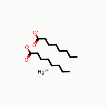 CCCCCCCC(=O)[O-].CCCCCCCC(=O)[O-].[Hg+2]